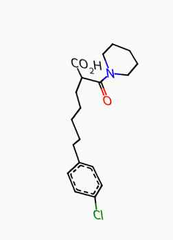 O=C(O)C(CCCCCc1ccc(Cl)cc1)C(=O)N1CCCCC1